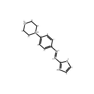 c1csc(N=Nc2ccc(N3CCOCC3)cc2)n1